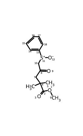 COC(=O)C(C)(C)CC(=O)C[S+]([O-])c1ccccc1